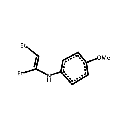 CCC=C(CC)Nc1ccc(OC)cc1